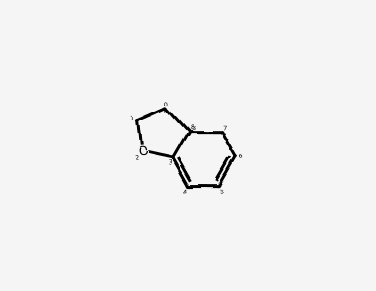 [CH]1COC2=CC=CCC12